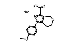 COc1ccc(-n2nc(C(=O)[O-])c3c2CCOC3)cc1.[Na+]